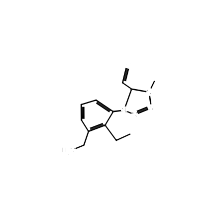 CN1N=NN(c2cccc(CN)c2CO)C1C=O